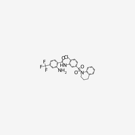 Nc1cc(C(F)(F)F)ccc1C(=O)Nc1cc(S(=O)(=O)N2CCCc3ccccc32)ccc1Cl